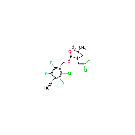 C#Cc1c(F)c(F)c(COC(=O)C2(C=C(Cl)Cl)CC2(C)C)c(Cl)c1F